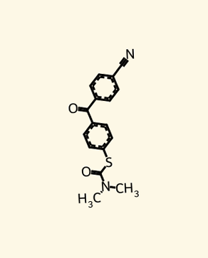 CN(C)C(=O)Sc1ccc(C(=O)c2ccc(C#N)cc2)cc1